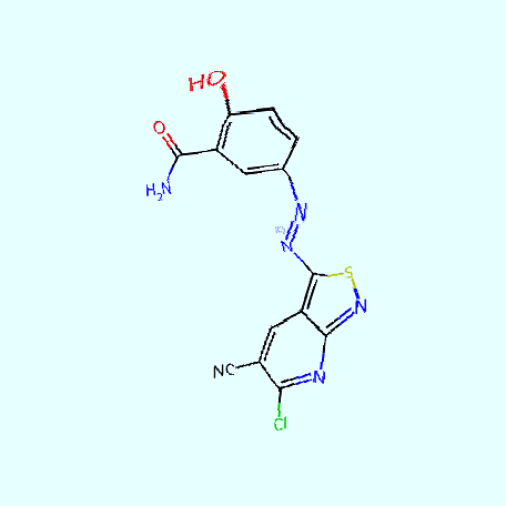 N#Cc1cc2c(/N=N/c3ccc(O)c(C(N)=O)c3)snc2nc1Cl